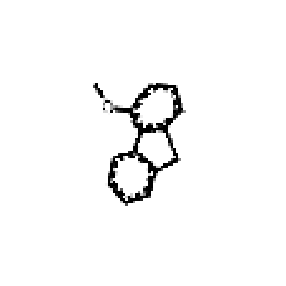 COc1cc[c]c2c1-c1ccccc1C2